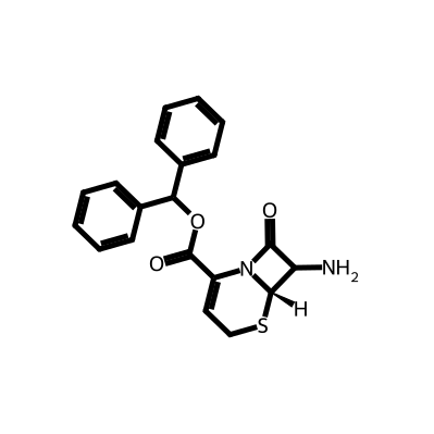 NC1C(=O)N2C(C(=O)OC(c3ccccc3)c3ccccc3)=CCS[C@@H]12